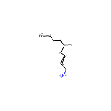 CC(C)CCCC(C)CC=CCN